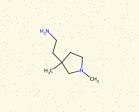 CN1CCC(C)(CCN)C1